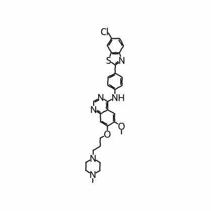 COc1cc2c(Nc3ccc(-c4nc5ccc(Cl)cc5s4)cc3)ncnc2cc1OCCCN1CCN(C)CC1